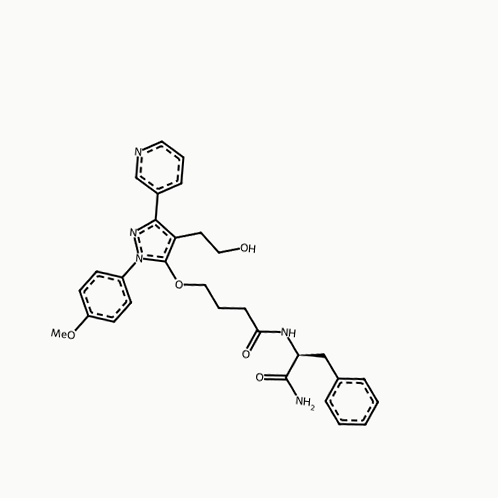 COc1ccc(-n2nc(-c3cccnc3)c(CCO)c2OCCCC(=O)N[C@@H](Cc2ccccc2)C(N)=O)cc1